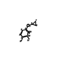 Cc1ccc(OC2CC2)nc1C